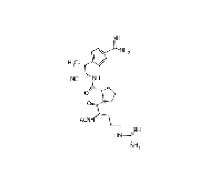 CC(=O)N[C@H](CCCNC(=N)N)C(=O)N1CCC[C@H]1C(=O)N[C@H](C#N)[C@H](C)c1ccc(C(=N)N)cc1